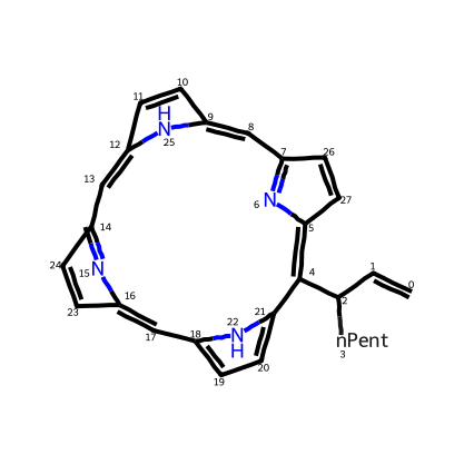 C=CC(CCCCC)c1c2nc(cc3ccc(cc4nc(cc5ccc1[nH]5)C=C4)[nH]3)C=C2